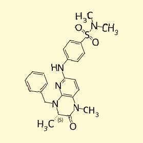 C[C@H]1C(=O)N(C)c2ccc(Nc3ccc(S(=O)(=O)N(C)C)cc3)nc2N1Cc1ccccc1